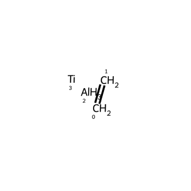 C=C.[AlH3].[Ti]